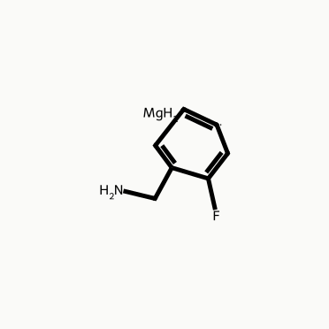 NCc1cc[c]cc1F.[MgH2]